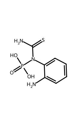 NC(=S)N(c1ccccc1N)P(=O)(O)O